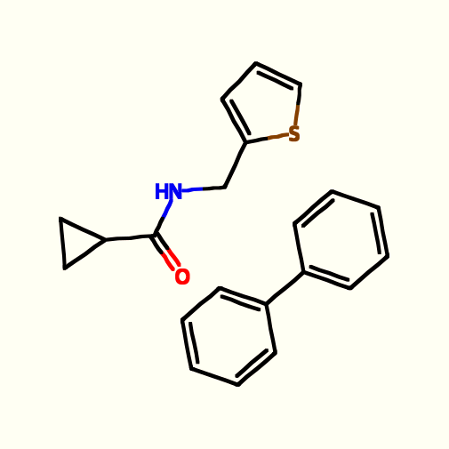 O=C(NCc1cccs1)C1CC1.c1ccc(-c2ccccc2)cc1